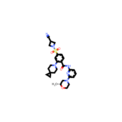 C[C@@H]1CN(c2cccc(NC(=O)c3ccc(S(=O)(=O)N4CC(C#N)C4)cc3N3CCC4(CC3)CC4)n2)CCO1